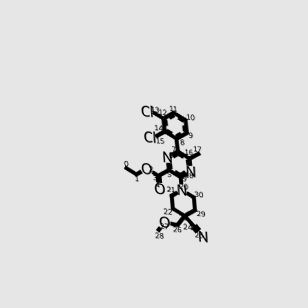 CCOC(=O)c1nc(-c2cccc(Cl)c2Cl)c(C)nc1N1CCC(C#N)(COC)CC1